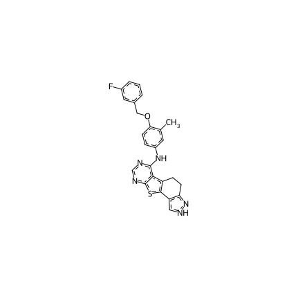 Cc1cc(Nc2ncnc3sc4c(c23)CCc2n[nH]cc2-4)ccc1OCc1cccc(F)c1